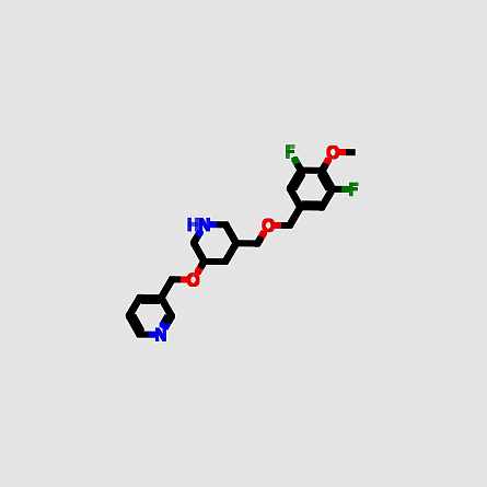 COc1c(F)cc(COCC2CNCC(OCc3cccnc3)C2)cc1F